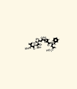 C=C(C)[C@H](NC)C(=O)N[C@H](C(=O)N(C)[C@H](C[C@@H](OC(C)=O)c1nc(C(=O)N[C@@H](Cc2ccccc2)CC(C)C(=O)O)cs1)C(C)C)[C@@H](C)CC